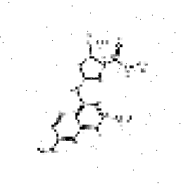 COc1ccc2c(O[C@@H]3C[C@@H](C(=O)O)N(C(=O)OC(C)(C)C)C3)cc(C=O)nc2c1